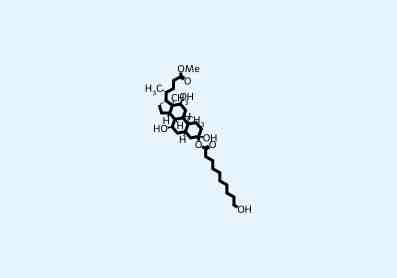 COC(=O)CC[C@@H](C)[C@H]1CC[C@H]2[C@@H]3[C@H](O)C[C@@H]4C[C@@](O)(OC(=O)CCCCCCCCCO)CC[C@]4(C)[C@H]3C[C@H](O)[C@]12C